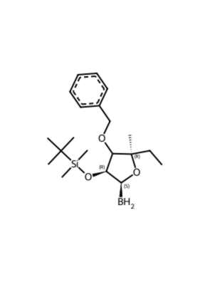 B[C@@H]1O[C@](C)(CC)C(OCc2ccccc2)[C@@H]1O[Si](C)(C)C(C)(C)C